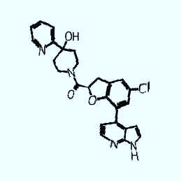 O=C([C@H]1Cc2cc(Cl)cc(-c3ccnc4[nH]ccc34)c2O1)N1CCC(O)(c2ccccn2)CC1